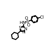 O=S(=O)(Nc1nnc(C2CCCCC2)s1)c1ccc(Cl)cc1